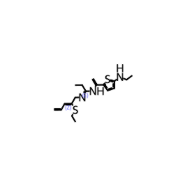 C=C/C=C(/C/N=C(\CC)NC(=C)c1ccc(NCC)s1)SCC